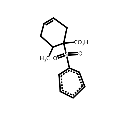 CC1CC=CCC1(C(=O)O)S(=O)(=O)c1ccccc1